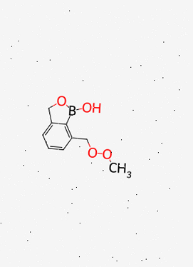 COOCc1cccc2c1B(O)OC2